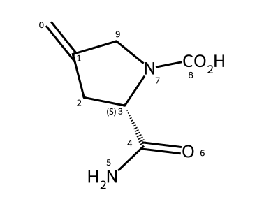 C=C1C[C@@H](C(N)=O)N(C(=O)O)C1